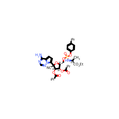 CCOC(=O)[C@H](C)NP(=O)(OC[C@H]1O[C@@](C#N)(c2ccc3c(N)ncnn23)[C@H](OC(=O)C(C)C)[C@@H]1OC(=O)C(C)C)Oc1ccc(C(C)C)cc1